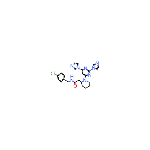 O=C(CC1CCCCN1c1cc(-n2ccnc2)nc(-n2ccnc2)n1)NCc1ccc(Cl)cc1